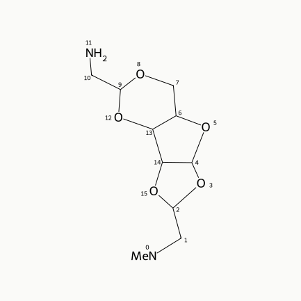 CNCC1OC2OC3COC(CN)OC3C2O1